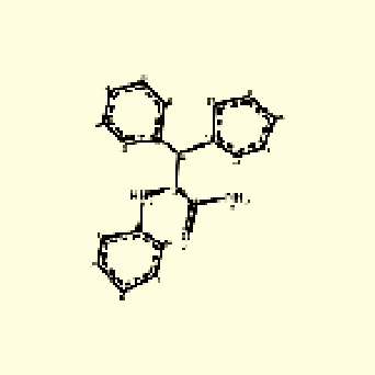 NC(=O)[C@@H](Nc1ccccc1)C(c1ccccc1)c1ccccc1